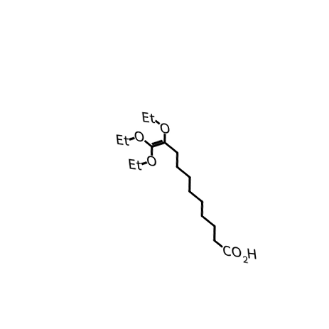 CCOC(CCCCCCCCC(=O)O)=C(OCC)OCC